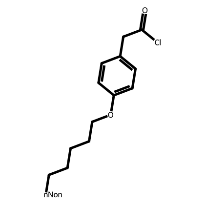 CCCCCCCCCCCCCCOc1ccc(CC(=O)Cl)cc1